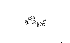 CCOc1cccc2nc(NC(=O)C(O)=CNc3nccc4ccc(-c5noc(C)n5)cc34)sc12